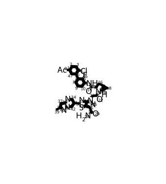 CC(=O)c1ccc(Cl)c(-c2cccc(NC(=O)[C@@H]3CC4C[C@H]4N3C(=O)Cn3nc(C(N)=O)c4sc(-c5cnc6cc(C)nn6c5)nc43)c2F)c1